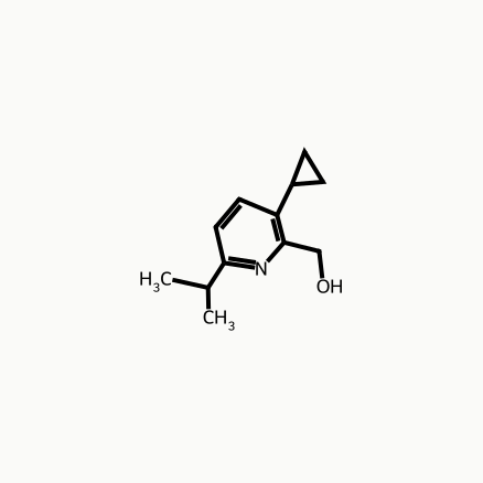 CC(C)c1ccc(C2CC2)c(CO)n1